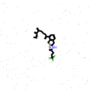 C=C(CCC(F)(F)F)NC1BCc2c(cccc2C(=C)CCCC(=C)C(=C)/C=C\C)C1